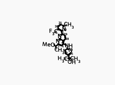 COC(C)c1cc(Nc2ccc(C(C)(C)O)cn2)c2ccc(-c3nc(C)ccc3C(F)(F)F)nc2n1